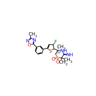 Cc1noc(-c2cccc(C3=CC(F)C([C@]4(C)CS(=O)(=O)C(C)(C)C(=N)N4)S3)c2)n1